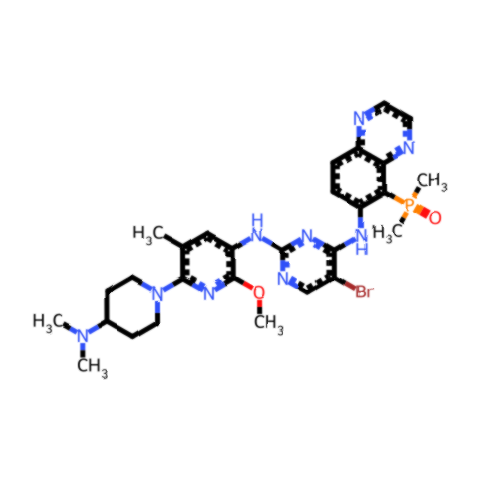 COc1nc(N2CCC(N(C)C)CC2)c(C)cc1Nc1ncc(Br)c(Nc2ccc3nccnc3c2P(C)(C)=O)n1